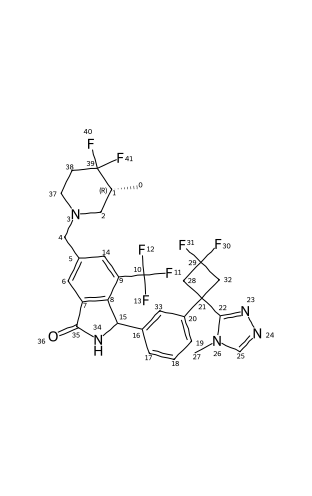 C[C@@H]1CN(Cc2cc3c(c(C(F)(F)F)c2)C(c2cccc(C4(c5nncn5C)CC(F)(F)C4)c2)NC3=O)CCC1(F)F